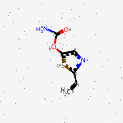 C=Cc1ncc(OC(N)=O)s1